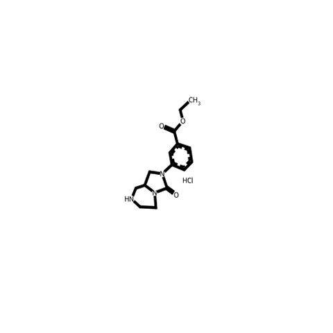 CCOC(=O)c1cccc(N2CC3CNCCN3C2=O)c1.Cl